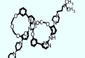 CN(C)CCCN1CCN(c2ccc3cc2OCCOCC(N2c4ccc(N5CCC(N6CCOCC6)CC5)c(c4)OCCOCCOc4cccc(c4)-c4ccnc2n4)Oc2cccc(c2)-c2ccnc(n2)N3)CC1